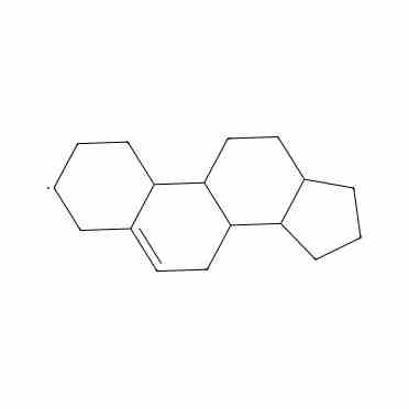 [CH]1CCC2C(=CCC3C4CCCC4CCC23)C1